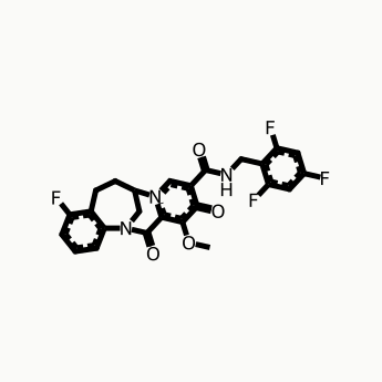 COc1c2n(cc(C(=O)NCc3c(F)cc(F)cc3F)c1=O)C1CCc3c(F)cccc3N(C1)C2=O